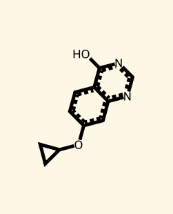 Oc1ncnc2cc(OC3CC3)ccc12